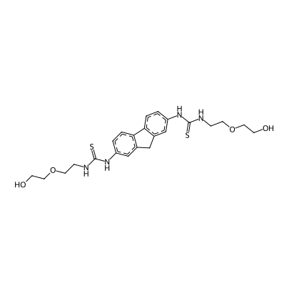 OCCOCCNC(=S)Nc1ccc2c(c1)Cc1cc(NC(=S)NCCOCCO)ccc1-2